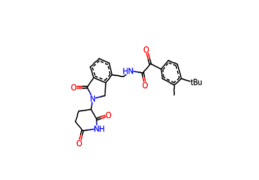 Cc1cc(C(=O)C(=O)NCc2cccc3c2CN(C2CCC(=O)NC2=O)C3=O)ccc1C(C)(C)C